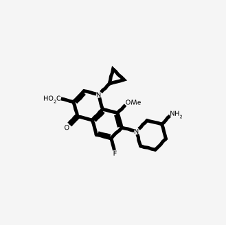 COc1c(N2CCCC(N)C2)c(F)cc2c(=O)c(C(=O)O)cn(C3CC3)c12